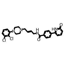 O=C(NC/C=C/CN1CCN(c2cccc(Cl)c2Cl)CC1)c1ccc(-c2cccc(=O)[nH]2)cc1